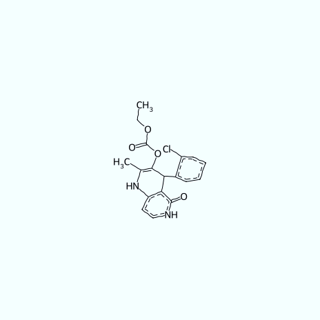 CCOC(=O)OC1=C(C)Nc2cc[nH]c(=O)c2C1c1ccccc1Cl